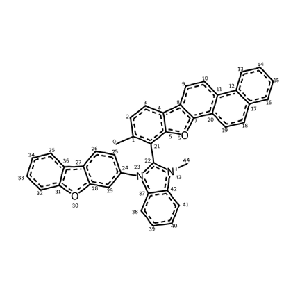 Cc1ccc2c(oc3c2ccc2c4ccccc4ccc23)c1-c1n(-c2ccc3c(c2)oc2ccccc23)c2ccccc2[n+]1C